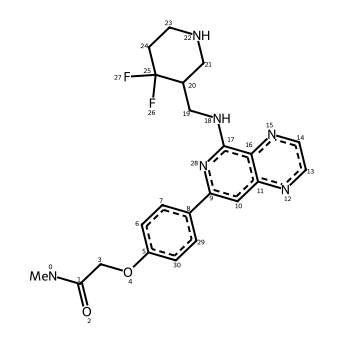 CNC(=O)COc1ccc(-c2cc3nccnc3c(NCC3CNCCC3(F)F)n2)cc1